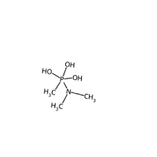 CN(C)P(C)(O)(O)O